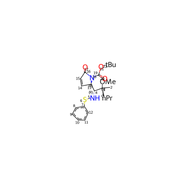 CCC[C@](C)(OC)[C@H](NSc1ccccc1)[C@H]1C=CC(=O)N1C(=O)OC(C)(C)C